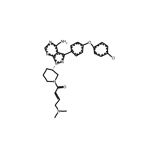 CN(C)CC=CC(=O)N1CCC[C@H](n2nc(-c3ccc(Oc4ccc(Cl)cc4)cc3)c3c(N)ncnc32)C1